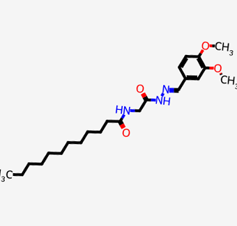 CCCCCCCCCCCC(=O)NCC(=O)NN=Cc1ccc(OC)c(OC)c1